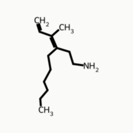 C=C/C(C)=C(/CCN)CCCCCC